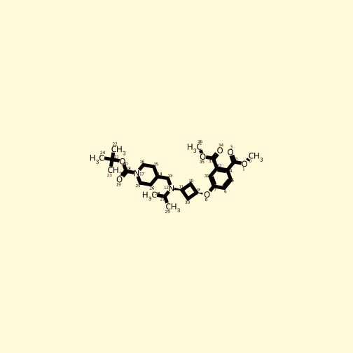 COC(=O)c1ccc(O[C@H]2C[C@H](N(CC3CCN(C(=O)OC(C)(C)C)CC3)C(C)C)C2)cc1C(=O)OC